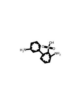 Nc1cccc(-c2cccc(N)c2S(=O)(=O)O)c1